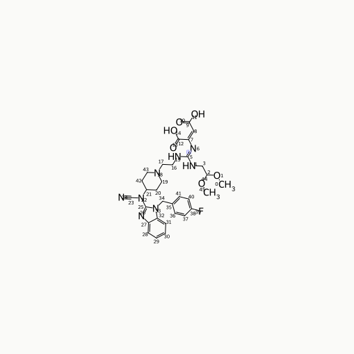 COC(CN/C(=N/C(=CC(=O)O)C(=O)O)NCCN1CCC(N(C#N)c2nc3ccccc3n2Cc2ccc(F)cc2)CC1)OC